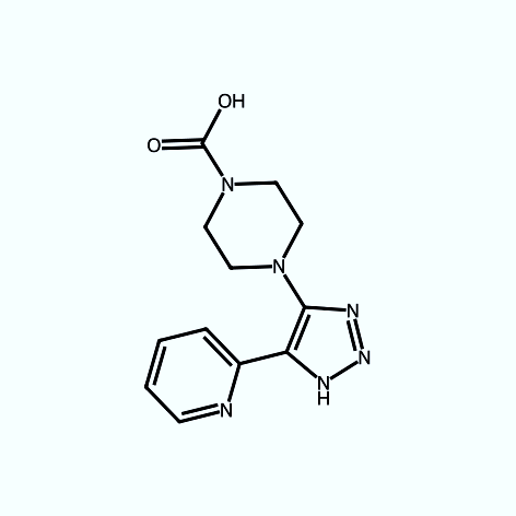 O=C(O)N1CCN(c2nn[nH]c2-c2ccccn2)CC1